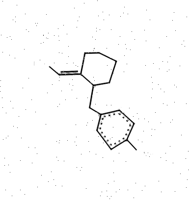 COc1ccc(CC2CCCCC2=CC(=O)O)cc1